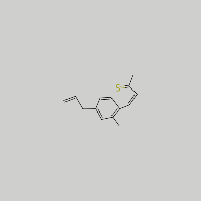 C=CCc1ccc(/C=C\C(C)=S)c(C)c1